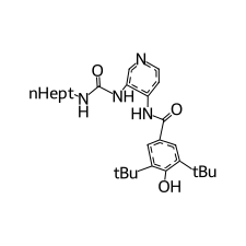 CCCCCCCNC(=O)Nc1cnccc1NC(=O)c1cc(C(C)(C)C)c(O)c(C(C)(C)C)c1